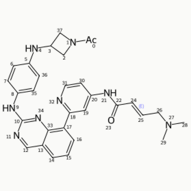 CC(=O)N1CC(Nc2ccc(Nc3ncc4cccc(-c5cc(NC(=O)/C=C/CN(C)C)ccn5)c4n3)cc2)C1